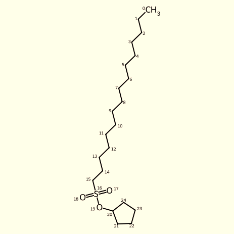 CCCCCCCCCCCCCCCCS(=O)(=O)OC1CCCC1